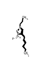 CCCCCCc1cn(CCC)n[n+]1C.[I-]